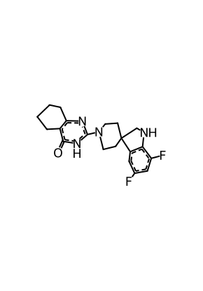 O=c1[nH]c(N2CCC3(CC2)CNc2c(F)cc(F)cc23)nc2c1CCCC2